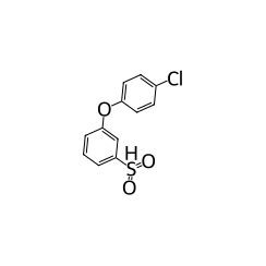 O=[SH](=O)c1cccc(Oc2ccc(Cl)cc2)c1